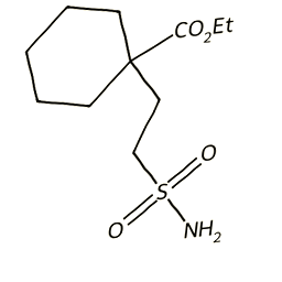 CCOC(=O)C1(CCS(N)(=O)=O)CCCCC1